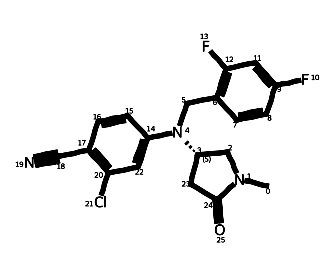 CN1C[C@@H](N(Cc2ccc(F)cc2F)c2ccc(C#N)c(Cl)c2)CC1=O